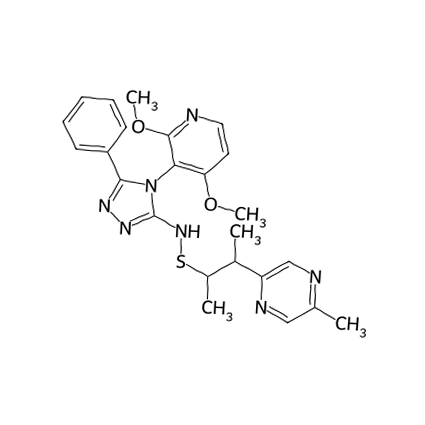 COc1ccnc(OC)c1-n1c(NSC(C)C(C)c2cnc(C)cn2)nnc1-c1ccccc1